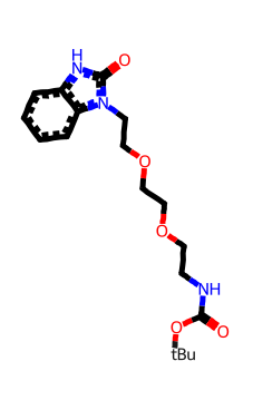 CC(C)(C)OC(=O)NCCOCCOCCn1c(=O)[nH]c2ccccc21